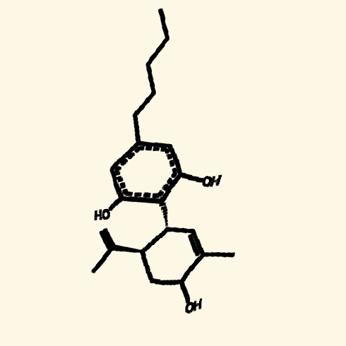 C=C(C)[C@@H]1CC(O)C(C)=C[C@H]1c1c(O)cc(CCCCC)cc1O